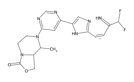 CC1C2COC(=O)N2CCN1c1cc(-c2cnc(/C=C\C(=N)C(F)F)[nH]2)ncn1